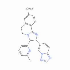 COc1ccc2c(c1)CCN1C2=NC(c2ccc3ncnn3c2)C1c1cccc(C)n1